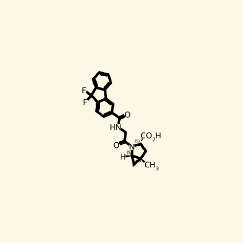 C[C@@]12C[C@@H]1N(C(=O)CNC(=O)c1ccc3c(c1)-c1ccccc1C3(F)F)[C@H](C(=O)O)C2